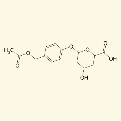 CC(=O)OCc1ccc(OC2CC(O)CC(C(=O)O)O2)cc1